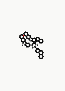 c1ccc2cc3c(cc2c1)oc1ccc(-c2cc(-c4cccc5ccccc45)nc(-c4ccc5c(ccc6ccccc65)c4)n2)c(-n2c4ccccc4c4cc5ccccc5cc42)c13